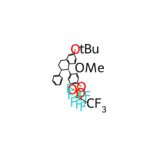 COc1cc(OS(=O)(=O)C(F)(F)C(F)(F)C(F)(F)C(F)(F)F)c(F)cc1[C@@H]1c2ccc(OC(C)(C)C)cc2CC[C@@H]1c1ccccc1